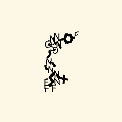 Cn1c(-c2ccc(F)cc2)nnc1S(=O)(=O)CCCN1CCN(c2cc(C(F)(F)F)nc(C(C)(C)C)n2)CC1